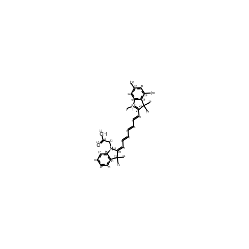 C[N+]1=C(/C=C/C=C/C=C/C=C2\N(CC(=O)O)c3ccccc3C2(C)C)C(C)(C)c2c(I)cc(I)cc21